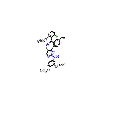 C=Cc1ccc2c(c1)C(c1c(F)cccc1OC)=NCc1cnc(Nc3ccc(C(=O)O)c(OC)c3)nc1-2